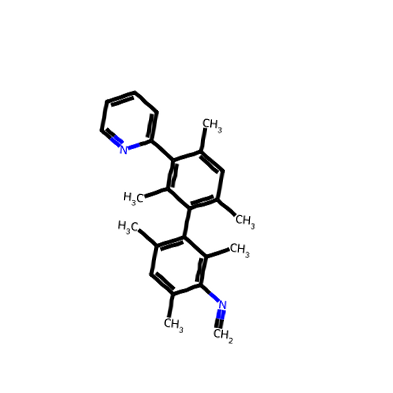 C=Nc1c(C)cc(C)c(-c2c(C)cc(C)c(-c3ccccn3)c2C)c1C